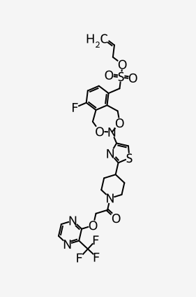 C=CCOS(=O)(=O)Cc1ccc(F)c2c1CON(c1csc(C3CCN(C(=O)COc4nccnc4C(F)(F)F)CC3)n1)OC2